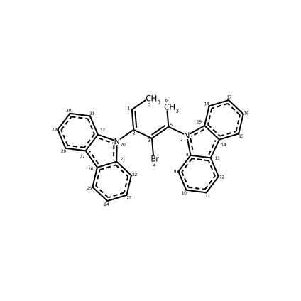 C/C=C(\C(Br)=C(/C)n1c2ccccc2c2ccccc21)n1c2ccccc2c2ccccc21